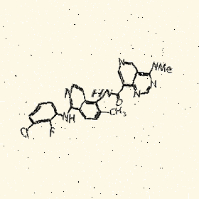 CNc1ncnc2c(C(=O)Nc3c(C)ccc4c(Nc5cccc(Cl)c5F)nccc34)cncc12